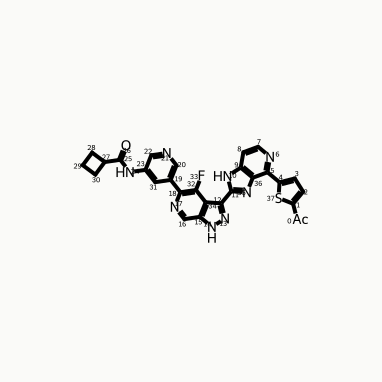 CC(=O)c1ccc(-c2nccc3[nH]c(-c4n[nH]c5cnc(-c6cncc(NC(=O)C7CCC7)c6)c(F)c45)nc23)s1